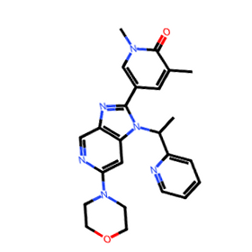 Cc1cc(-c2nc3cnc(N4CCOCC4)cc3n2C(C)c2ccccn2)cn(C)c1=O